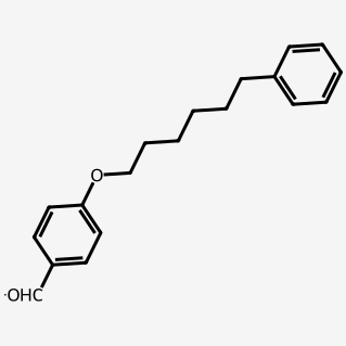 O=[C]c1ccc(OCCCCCCc2ccccc2)cc1